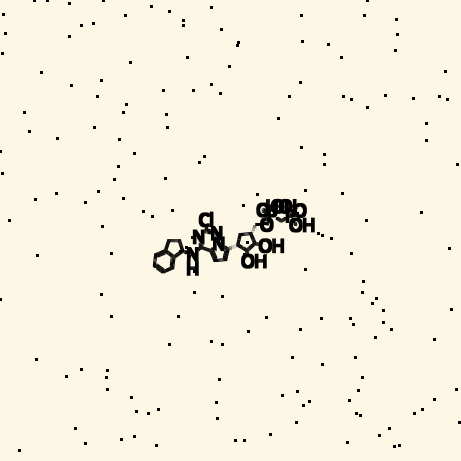 O=P(O)(O)CP(=O)(O)OC[C@H]1C[C@@H](c2ccc3c(N[C@@H]4CCc5ccccc54)nc(Cl)nn23)[C@H](O)[C@@H]1O